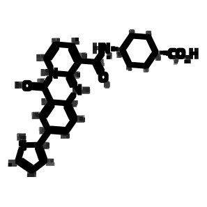 O=C(N[C@H]1CC[C@@H](C(=O)O)CC1)c1cccn2c(=O)c3cc(-c4cccs4)ccc3nc12